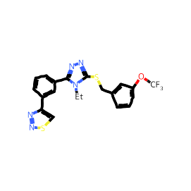 CCn1c(SCc2cccc(OC(F)(F)F)c2)nnc1-c1cccc(-c2csnn2)c1